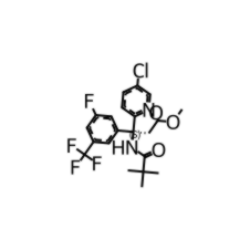 COC(=O)C[C@](NC(=O)C(C)(C)C)(c1cc(F)cc(C(F)(F)F)c1)c1ccc(Cl)cn1